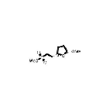 CO[C@H]1CC[C@@H](CCS(=O)(=O)OC)O1